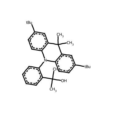 CC(C)(C)c1ccc2c(c1)C(C)(C)c1cc(C(C)(C)C)ccc1N2c1ccccc1C(C)(C)O